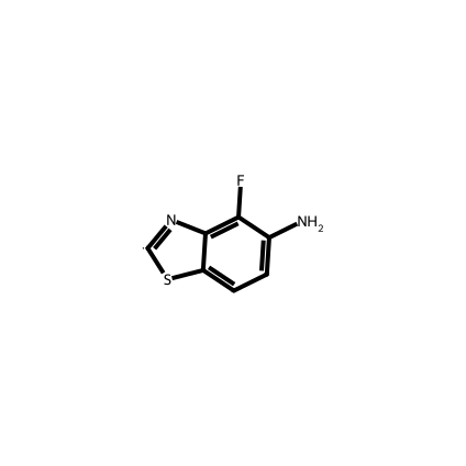 Nc1ccc2s[c]nc2c1F